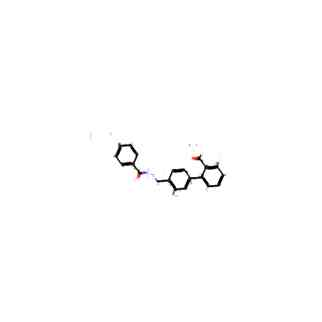 COC(=O)c1c(F)cccc1-c1ccc(CNC(=O)c2ccc(C(=O)O)cc2)c(F)c1